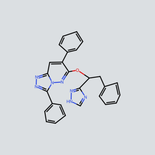 c1ccc(CC(Oc2nn3c(-c4ccccc4)nnc3cc2-c2ccccc2)c2nc[nH]n2)cc1